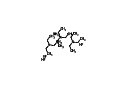 B.CCN(CC)CC.CCN(CC)CC.CCN(CC)CC.F.F.F